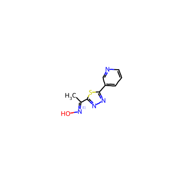 C/C(=N\O)c1nnc(-c2cccnc2)s1